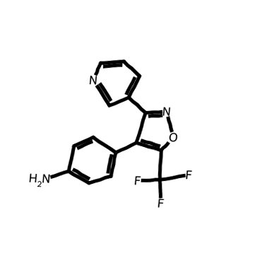 Nc1ccc(-c2c(-c3cccnc3)noc2C(F)(F)F)cc1